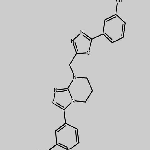 COc1cc(-c2nnc3n2CCCN3Cc2nnc(-c3cccc(C#N)c3)o2)ccn1